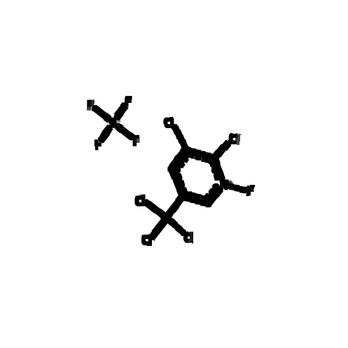 F[B-](F)(F)F.F[n+]1cc(C(Cl)(Cl)Cl)cc(Cl)c1Cl